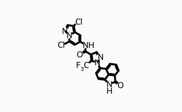 O=C(Nc1cc(Cl)n2ncc(Cl)c2c1)c1cnn(-c2ccc3c4c(cccc24)C(=O)N3)c1C(F)(F)F